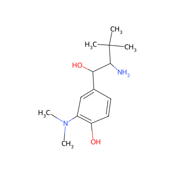 CN(C)c1cc(C(O)C(N)C(C)(C)C)ccc1O